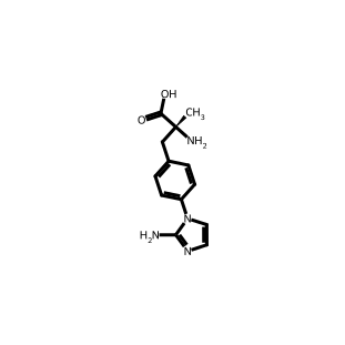 C[C@@](N)(Cc1ccc(-n2ccnc2N)cc1)C(=O)O